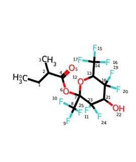 CCC(C)C(=O)OC1(C(F)(F)F)OC(C(F)(F)F)C(F)(F)C(O)C1(F)F